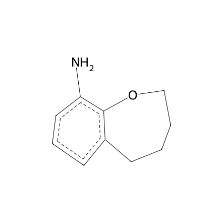 Nc1cccc2c1OCCCC2